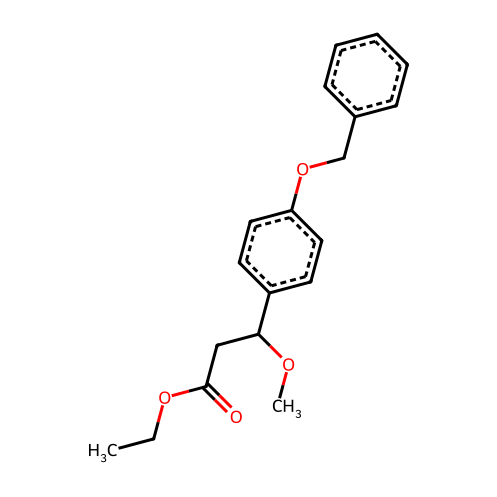 CCOC(=O)CC(OC)c1ccc(OCc2ccccc2)cc1